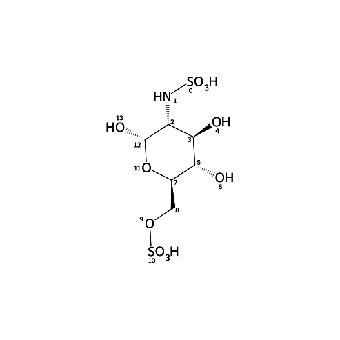 O=S(=O)(O)N[C@@H]1[C@@H](O)[C@H](O)[C@@H](COS(=O)(=O)O)O[C@@H]1O